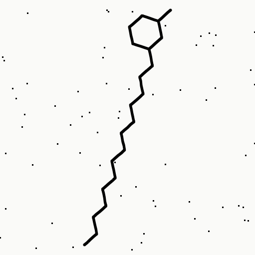 CCCCCCCCCCCCCCC1CCCC(C)C1